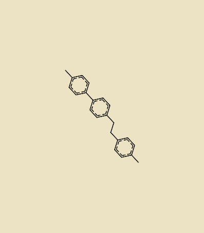 Cc1ccc(CCc2ccc(-c3ccc(C)cc3)cc2)cc1